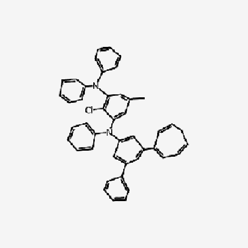 Cc1cc(N(c2ccccc2)c2ccccc2)c(Cl)c(N(c2ccccc2)c2cc(C3=CC=CCC=C3)cc(-c3ccccc3)c2)c1